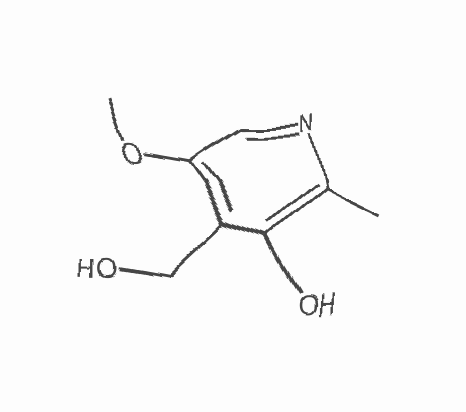 COc1cnc(C)c(O)c1CO